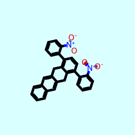 O=[N+]([O-])c1ccccc1-c1ccc(-c2ccccc2[N+](=O)[O-])c2c1Cc1cc3ccccc3cc1C2